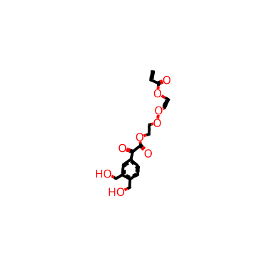 C=CC(=O)O/C=C\OOCCOC(=O)C(=O)c1ccc(CO)c(CO)c1